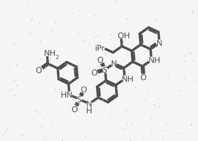 CC(C)CC(O)c1c(C2=NS(=O)(=O)c3cc(NS(=O)(=O)Nc4cccc(C(N)=O)c4)ccc3N2)c(=O)[nH]c2ncccc12